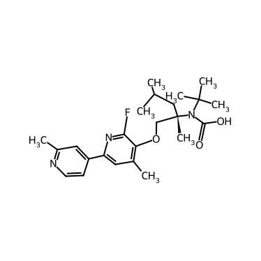 Cc1cc(-c2cc(C)c(OC[C@](C)(CC(C)C)N(C(=O)O)C(C)(C)C)c(F)n2)ccn1